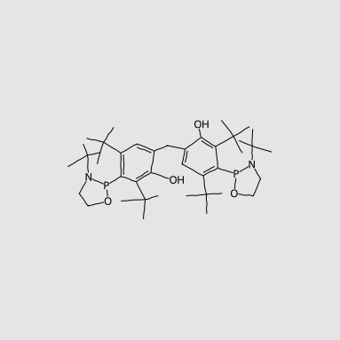 CC(C)(C)c1cc(Cc2cc(C(C)(C)C)c(P3OCCN3C(C)(C)C)c(C(C)(C)C)c2O)c(O)c(C(C)(C)C)c1P1OCCN1C(C)(C)C